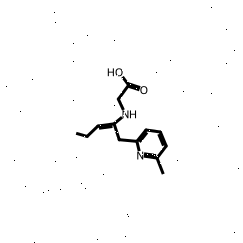 CC/C=C(\Cc1cccc(C)n1)NCC(=O)O